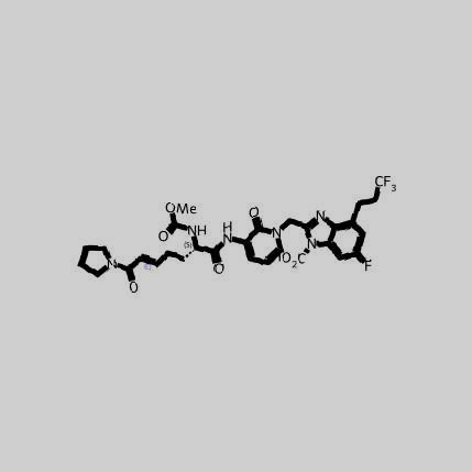 COC(=O)N[C@@H](CC/C=C/C(=O)N1CCCC1)C(=O)Nc1cccn(Cc2nc3c(CCC(F)(F)F)cc(F)cc3n2C(=O)O)c1=O